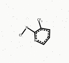 FC(F)(F)c1cccnc1[N]Cl